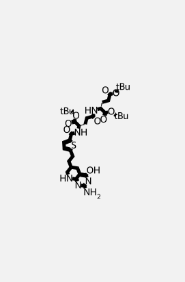 CC(C)(C)OC(=O)CC[C@@H](NC(=O)CC[C@H](NC(=O)c1ccc(CCC2CNc3nc(N)nc(O)c3C2)s1)C(=O)OC(C)(C)C)C(=O)OC(C)(C)C